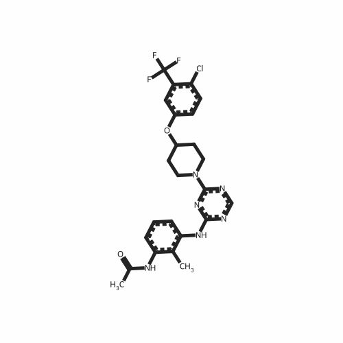 CC(=O)Nc1cccc(Nc2ncnc(N3CCC(Oc4ccc(Cl)c(C(F)(F)F)c4)CC3)n2)c1C